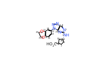 O=C(O)[C@@H]1CC[C@@H](Nc2ncc3nnn(-c4ccc5c(c4)OCCO5)c3n2)C1